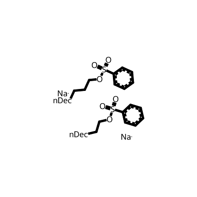 CCCCCCCCCCCCCOS(=O)(=O)c1ccccc1.CCCCCCCCCCCCOS(=O)(=O)c1ccccc1.[Na].[Na]